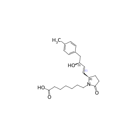 Cc1ccc(C[C@H](O)/C=C/[C@H]2CCC(=O)N2CCCCCCC(=O)O)cc1